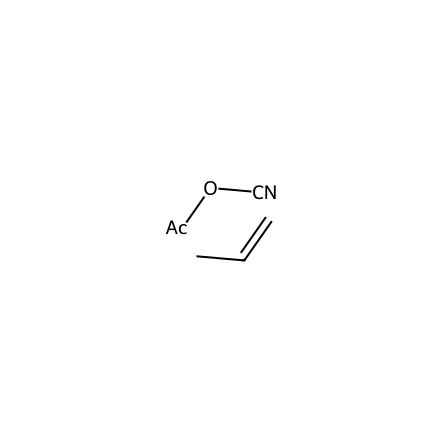 C=CC.CC(=O)OC#N